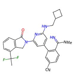 CNC(=N)c1ccc(C#N)cc1-c1cc(NCC2CCC2)nc(N2Cc3c(cccc3C(C)(F)F)C2=O)c1